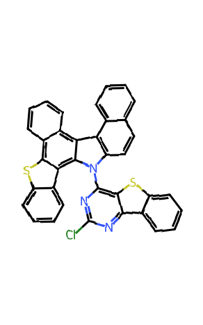 Clc1nc(-n2c3ccc4ccccc4c3c3c4ccccc4c4sc5ccccc5c4c32)c2sc3ccccc3c2n1